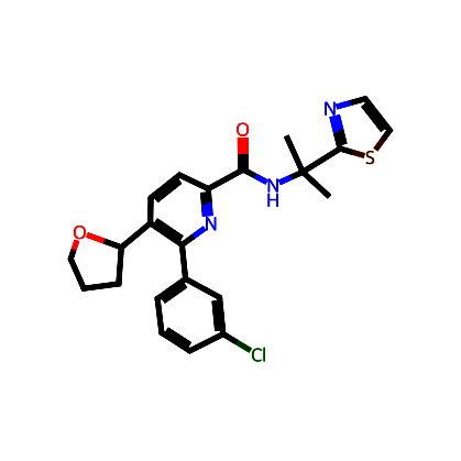 CC(C)(NC(=O)c1ccc(C2CCCO2)c(-c2cccc(Cl)c2)n1)c1nccs1